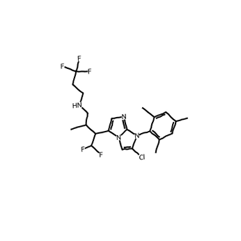 Cc1cc(C)c(-n2c(Cl)cn3c(C(C(F)F)C(C)CNCCC(F)(F)F)cnc23)c(C)c1